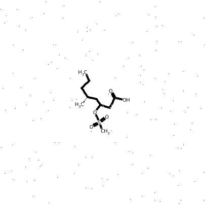 CCC[C@@H](C)CC(CC(=O)O)OS(C)(=O)=O